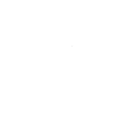 O=C1NCC=NN1c1cc(Cl)c(Cc2ccc(C(O)c3ccc(Cl)nc3Cl)cc2)c(Cl)c1